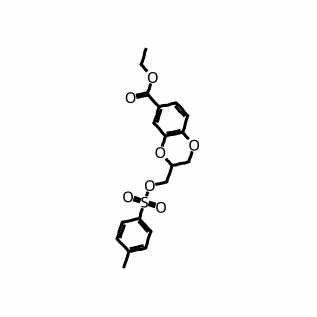 CCOC(=O)c1ccc2c(c1)OC(COS(=O)(=O)c1ccc(C)cc1)CO2